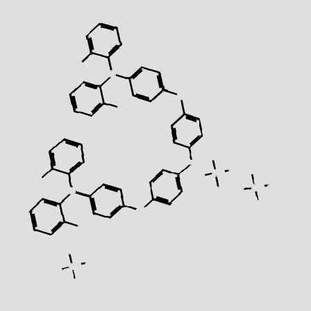 Cc1ccccc1[S+](c1ccc(Oc2ccc([I+]c3ccc(Oc4ccc([S+](c5ccccc5C)c5ccccc5C)cc4)cc3)cc2)cc1)c1ccccc1C.[O-][Cl+3]([O-])([O-])[O-].[O-][Cl+3]([O-])([O-])[O-].[O-][Cl+3]([O-])([O-])[O-]